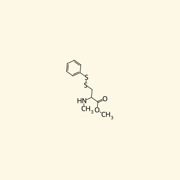 CNC(CSSc1ccccc1)C(=O)OC